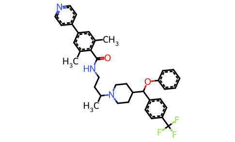 Cc1cc(-c2ccncc2)cc(C)c1C(=O)NCCC(C)N1CCC(C(Oc2ccccc2)c2ccc(C(F)(F)F)cc2)CC1